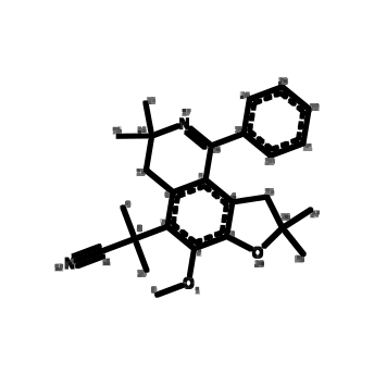 COc1c2c(c3c(c1C(C)(C)C#N)CC(C)(C)N=C3c1ccccc1)CC(C)(C)O2